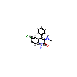 CN(C)c1c(-c2ccccc2)c2cc(Cl)ccc2[nH]c1=O